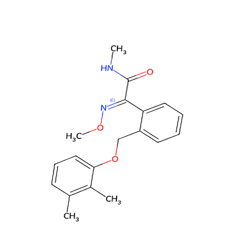 CNC(=O)/C(=N/OC)c1ccccc1COc1cccc(C)c1C